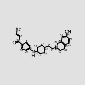 CC(=O)/C=C/C(=O)c1ccc(NC2CCC(CCN3CCc4ccc(C#N)cc4C3)CC2)cc1